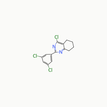 Clc1cc(Cl)cc(-c2nc(Cl)c3c(n2)CCCC3)c1